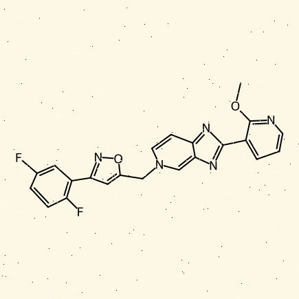 COc1ncccc1-c1nc2ccn(Cc3cc(-c4cc(F)ccc4F)no3)cc-2n1